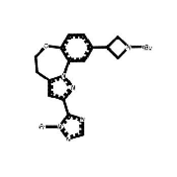 CC(C)n1ncnc1-c1cc2n(n1)-c1cc(C3CN(C(C)(C)C)C3)ccc1OCC2